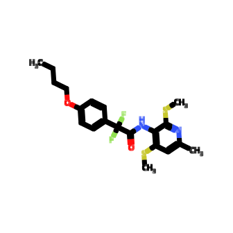 CCCCOc1ccc(C(F)(F)C(=O)Nc2c(SC)cc(C)nc2SC)cc1